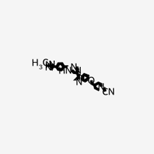 Cn1ncc(-c2ccc(CNc3cc(-c4cnc5cc(OCC6CCN(CC#N)CC6)ccn45)ncn3)cc2)n1